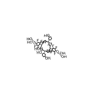 OCC(O)COc1c(F)c(F)c(-c2c3nc(c(-c4cccc(O)c4)c4ccc([nH]4)c(-c4c(F)c(F)c(OCC(O)CO)c(F)c4F)c4nc(c(-c5cccc(O)c5)c5ccc2[nH]5)C(O)C4O)C=C3)c(F)c1F